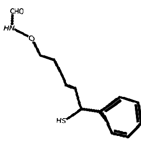 O=CNOCCCCC(S)c1ccccc1